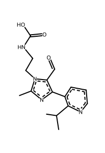 Cc1nc(-c2cccnc2C(C)C)c(C=O)n1CCNC(=O)O